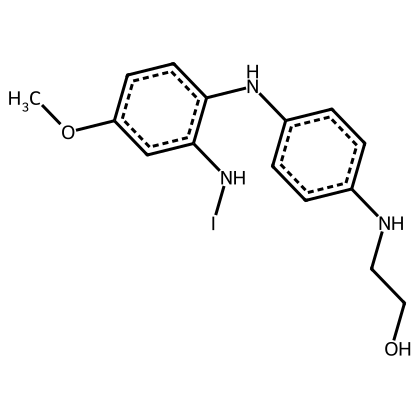 COc1ccc(Nc2ccc(NCCO)cc2)c(NI)c1